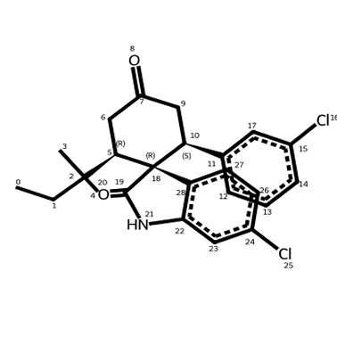 CCC(C)(C)[C@H]1CC(=O)C[C@@H](c2cccc(Cl)c2)[C@]12C(=O)Nc1cc(Cl)ccc12